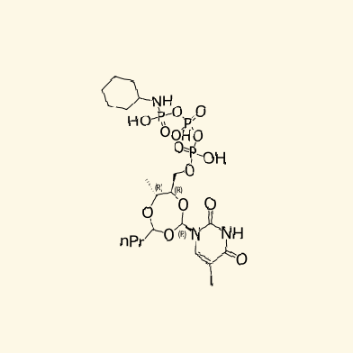 CCCC1O[C@H](n2cc(I)c(=O)[nH]c2=O)O[C@H](COP(=O)(O)OP(=O)(O)OP(=O)(O)NC2CCCCC2)[C@@H](C)O1